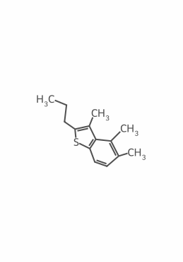 CCCc1sc2ccc(C)c(C)c2c1C